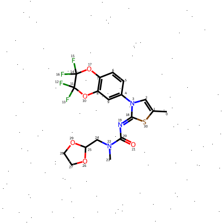 Cc1cn(-c2ccc3c(c2)OC(F)(F)C(F)(F)O3)/c(=N/C(=O)N(C)CC2OCCO2)s1